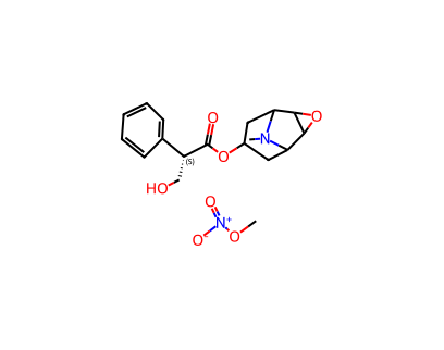 CN1C2CC(OC(=O)[C@H](CO)c3ccccc3)CC1C1OC12.CO[N+](=O)[O-]